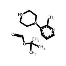 CC(C)(C)OC=O.Cc1ncccc1N1CCNCC1